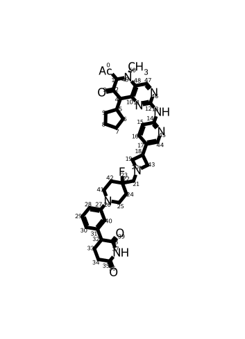 CC(=O)C1C(=O)C(C2CCCC2)c2nc(Nc3ccc(C4CN(CC5(F)CCN(c6cccc(C7CCC(=O)NC7=O)c6)CC5)C4)cn3)ncc2N1C